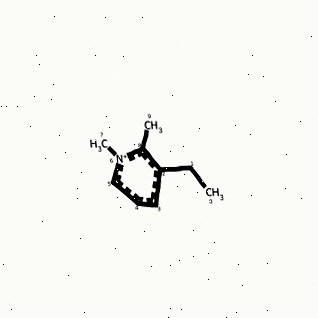 CCc1ccc[n+](C)c1C